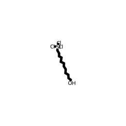 OCCCCCCCCCCCC[Si](Cl)(Cl)Cl